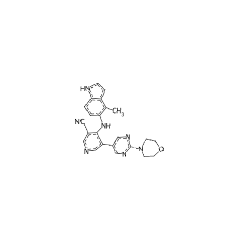 Cc1c(Nc2c(C#N)cncc2-c2cnc(N3CCOCC3)nc2)ccc2[nH]ccc12